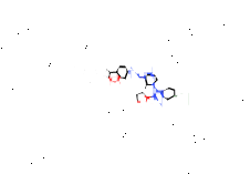 Cc1c(CNc2ccc3c(c2)OC[C@H]3CC(=O)O)cccc1-n1c(C2CCCO2)nc2cc(Cl)ccc21